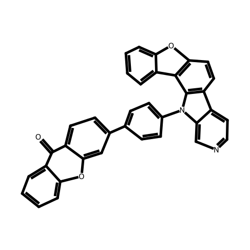 O=c1c2ccccc2oc2cc(-c3ccc(-n4c5cnccc5c5ccc6oc7ccccc7c6c54)cc3)ccc12